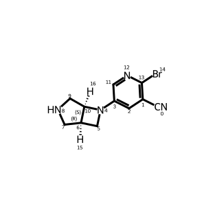 N#Cc1cc(N2C[C@H]3CNC[C@H]32)cnc1Br